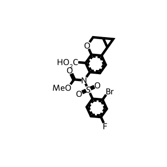 COC(=O)N(c1ccc2c(c1C(=O)O)OCC1CC21)S(=O)(=O)c1ccc(F)cc1Br